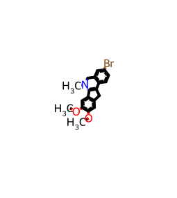 COc1cc2c(cc1OC)C1=C(C2)c2ccc(Br)cc2CN1C